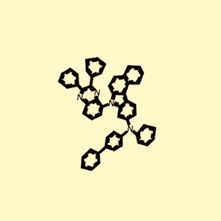 c1ccc(-c2ccc(N(c3ccccc3)c3ccc4c5c6ccccc6ccc5n(-c5cccc6nc(-c7ccccc7)c(-c7ccccc7)nc56)c4c3)cc2)cc1